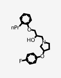 CCCc1ccccc1OCC(O)CN1CCC(Oc2ccc(F)cc2)C1